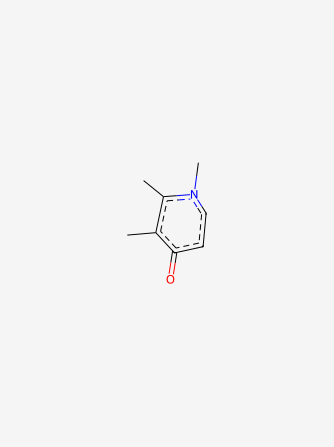 Cc1c(C)n(C)ccc1=O